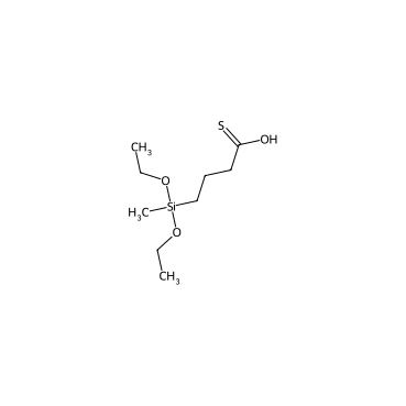 CCO[Si](C)(CCCC(O)=S)OCC